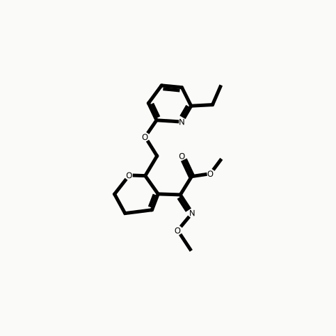 CCc1cccc(OCC2OCCC=C2/C(=N\OC)C(=O)OC)n1